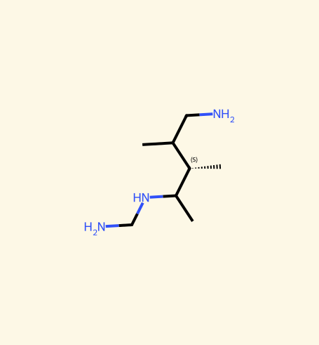 CC(CN)[C@H](C)C(C)NCN